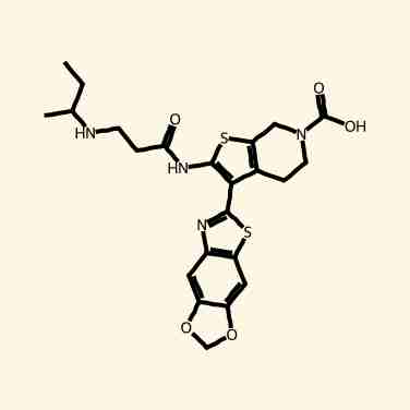 CCC(C)NCCC(=O)Nc1sc2c(c1-c1nc3cc4c(cc3s1)OCO4)CCN(C(=O)O)C2